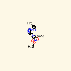 C#Cc1cccc(Nc2ncnn3ccc(CN4CC[C@@H](NC(=O)OCC=C)[C@@H](C(=O)NC)C4)c23)c1